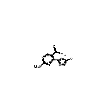 COc1ncc(C(N)=O)c(-c2nc(Br)cs2)n1